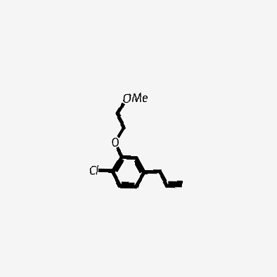 C=CCc1ccc(Cl)c(OCCOC)c1